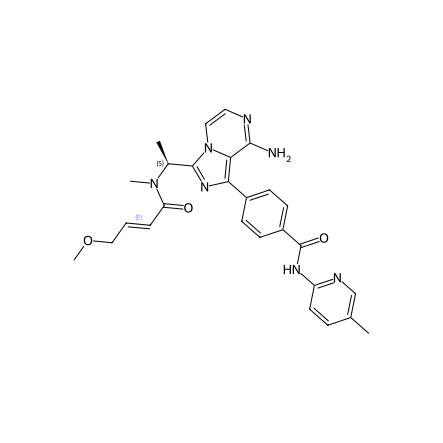 COC/C=C/C(=O)N(C)[C@@H](C)c1nc(-c2ccc(C(=O)Nc3ccc(C)cn3)cc2)c2c(N)nccn12